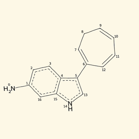 Nc1ccc2c(C3=CCC=CC=C3)c[nH]c2c1